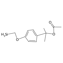 CC(=O)OC(C)(C)c1ccc(OC[SiH3])cc1